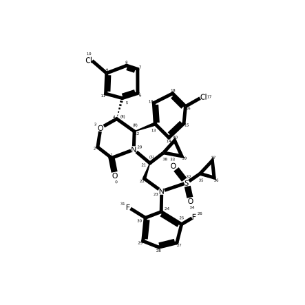 O=C1CO[C@H](c2cccc(Cl)c2)[C@@H](c2ccc(Cl)cc2)N1[C@H](CN(c1c(F)cccc1F)S(=O)(=O)C1CC1)C1CC1